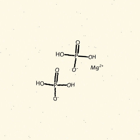 O=P([O-])(O)O.O=P([O-])(O)O.[Mg+2]